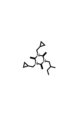 C=C1N(CC(C)CC)C(=C)N(CC2CC2)C(=C)N1CC1CC1